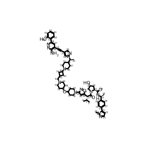 CC(C)[C@@H](C(=O)N1C[C@H](O)C[C@H]1C(=O)N[C@@H](C)c1ccc(-c2ccnn2C)cc1)c1cc(N2CCC(OC3CCN(CC4CC(N5CCC([C@H](C)n6cc(C#Cc7cc(-c8ccccc8O)nnc7N)cn6)CC5)C4)CC3)CC2)no1